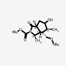 CCCCOC[C@@H]1[C@@H]2[C@@H](C)N(C(=O)OC(C)(C)C)C(=O)[C@@H]2CC(O)[C@H]1C